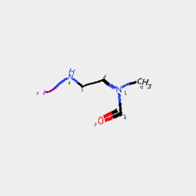 CN(C=O)CCNI